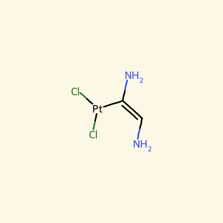 NC=[C](N)[Pt]([Cl])[Cl]